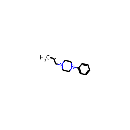 C[CH]CN1CCN(c2ccccc2)CC1